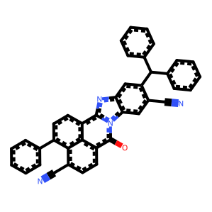 N#Cc1cc2c(cc1C(c1ccccc1)c1ccccc1)nc1c3ccc(-c4ccccc4)c4c(C#N)ccc(c(=O)n21)c43